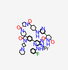 CC(C)n1cnc2cc(-c3ccc4c(c3)N(C3CC(N5CCCCC5)C3)C(=O)C43CCN(C(=O)[C@@H]4CCN(C(=O)C5CCC(Nc6cncc([C@H]7CCC(=O)NC7=O)c6)CC5)C4)CC3)nc(Nc3ccccc3F)c21